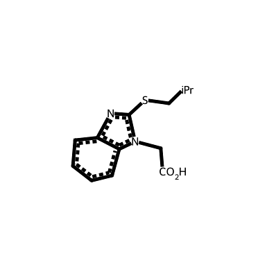 CC(C)CSc1nc2ccccc2n1CC(=O)O